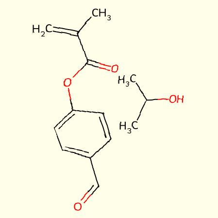 C=C(C)C(=O)Oc1ccc(C=O)cc1.CC(C)O